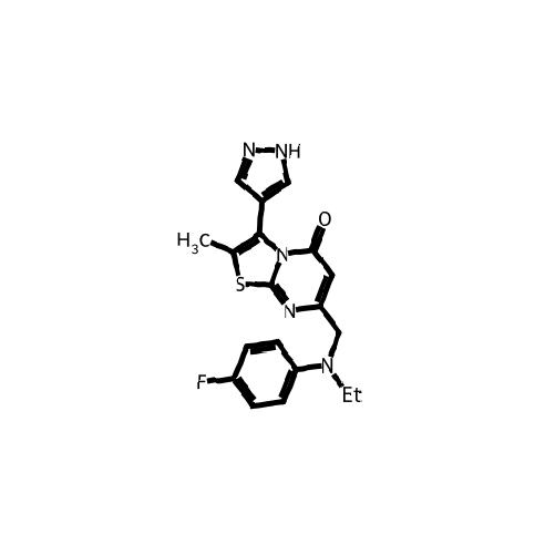 CCN(Cc1cc(=O)n2c(-c3cn[nH]c3)c(C)sc2n1)c1ccc(F)cc1